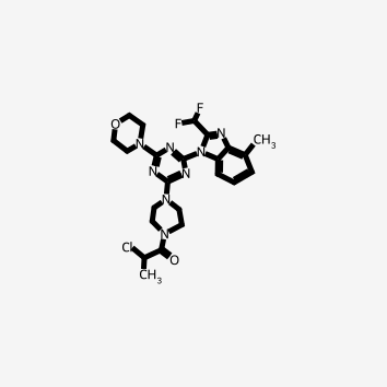 Cc1cccc2c1nc(C(F)F)n2-c1nc(N2CCOCC2)nc(N2CCN(C(=O)C(C)Cl)CC2)n1